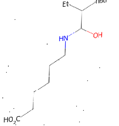 CCCCC(CC)C(O)NCCCCCC(=O)O